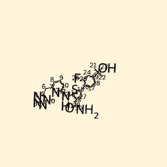 Cn1nnnc1Cc1cccc(Nc2sc(-c3ccc(C(C)(C)O)cc3F)cc2C(N)=O)n1